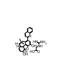 CN1CC[C@]23c4c5c(-c6ccc7ccccc7n6)cc(O)c4O[C@H]2[C@@H](O)C=C[C@H]3[C@H]1C5.N=C(N)NCC(=O)O